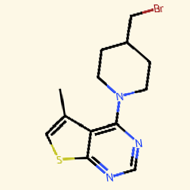 Cc1csc2ncnc(N3CCC(CBr)CC3)c12